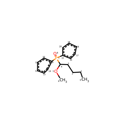 CCCCC(OC)P(=O)(c1ccccc1)c1ccccc1